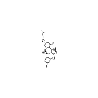 Cc1nn(C)c(-c2c(F)cc(OCCC(C)C)cc2F)c1C(O)c1ccc(F)cc1Cl